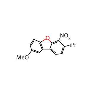 COc1ccc2oc3c([N+](=O)[O-])c(C(C)C)ccc3c2c1